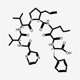 C=CCC1CCN(C(=O)[C@@H](NC(=O)[C@@H](NC(=O)c2cnccn2)C(C)C)C(C)C)[C@@H]1C(=O)NC(CCC)C(=O)C(=O)N[C@@H](Cc1ccccc1)C(=O)O